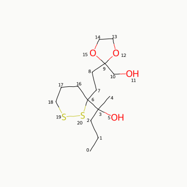 CCCC(C)(O)C1(CCC2(CO)OCCO2)CCCSS1